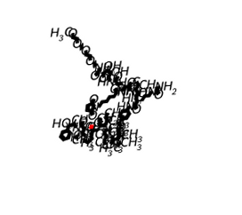 CC[C@H](C)[C@@H]([C@@H](CC(=O)N1CCC[C@H]1[C@H](OC)[C@@H](C)C(=O)N[C@H](C)[C@@H](O)c1ccccc1)OC)N(C)C(=O)[C@@H](NC(=O)[C@H](C(C)C)N(C)C(=O)OCc1ccc(NC(=O)[C@H](CCCNC(N)=O)NC(=O)[C@@H](NC(=O)[C@H](CCC(=O)NC2O[C@H](C(=O)NCCOCCOCCOCCOC)[C@@H](O)[C@H]2O)NC(=O)CCCCCN2C(=O)C=CC2=O)C(C)C)cc1)C(C)C